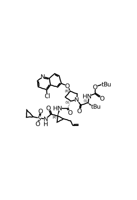 C=CCC1C[C@]1(NC(=O)[C@@H]1C[C@@H](Oc2ccc3nccc(Cl)c3c2)CN1C(=O)[C@@H](NC(=O)OC(C)(C)C)C(C)(C)C)C(=O)NS(=O)(=O)C1CC1